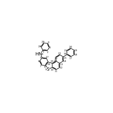 c1ccc(Nc2ccc3sc4ccc5cc(-c6ccccc6)ccc5c4c3c2)cc1